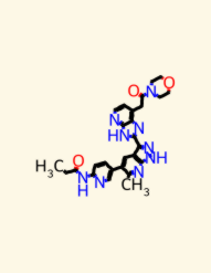 CCC(=O)Nc1ccc(-c2cc3c(-c4nc5c(CC(=O)N6CCOCC6)ccnc5[nH]4)n[nH]c3nc2C)cn1